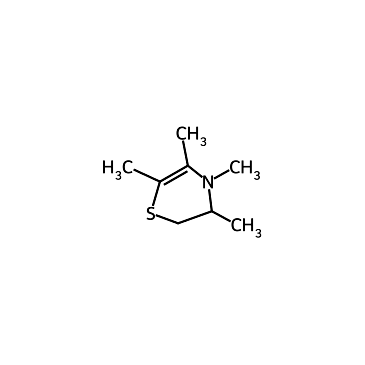 CC1=C(C)N(C)C(C)CS1